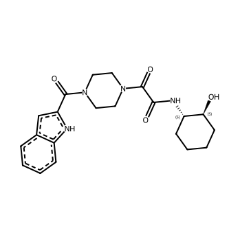 O=C(N[C@H]1CCCC[C@@H]1O)C(=O)N1CCN(C(=O)c2cc3ccccc3[nH]2)CC1